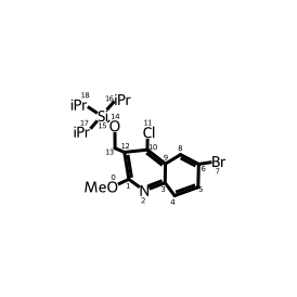 COc1nc2ccc(Br)cc2c(Cl)c1CO[Si](C(C)C)(C(C)C)C(C)C